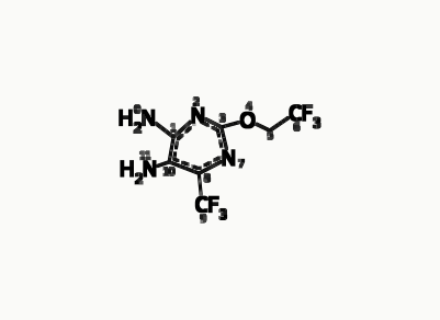 Nc1nc(OCC(F)(F)F)nc(C(F)(F)F)c1N